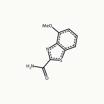 COc1cccc2sc(C(N)=O)nc12